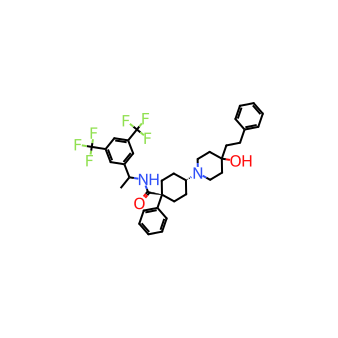 CC(NC(=O)[C@]1(c2ccccc2)CC[C@@H](N2CCC(O)(CCc3ccccc3)CC2)CC1)c1cc(C(F)(F)F)cc(C(F)(F)F)c1